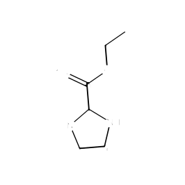 CCOC(=O)C1[N]CCN1